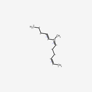 C/C=C\CC/C=[N+](C)\C=C\CCC